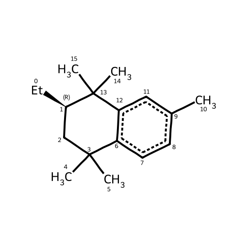 CC[C@@H]1CC(C)(C)c2ccc(C)cc2C1(C)C